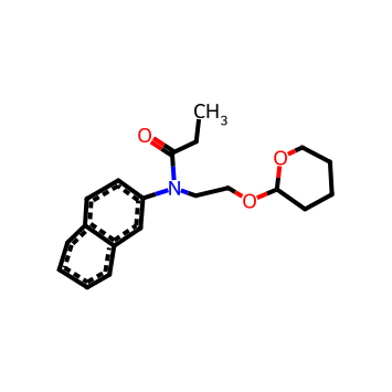 CCC(=O)N(CCOC1CCCCO1)c1ccc2ccccc2c1